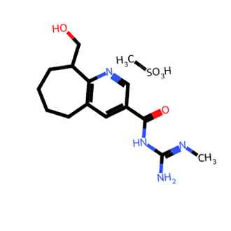 CN=C(N)NC(=O)c1cnc2c(c1)CCCCC2CO.CS(=O)(=O)O